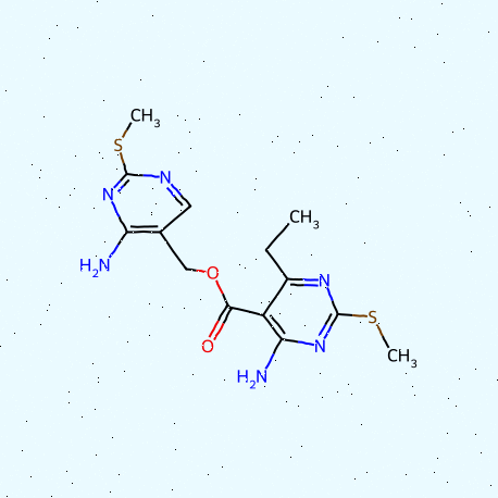 CCc1nc(SC)nc(N)c1C(=O)OCc1cnc(SC)nc1N